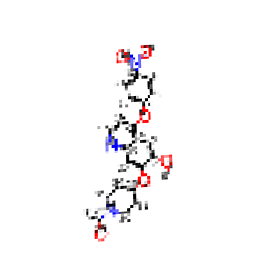 COc1cc2c(Oc3ccc([N+](=O)[O-])cc3)ccnc2cc1OC1CCN(C(C)=O)CC1